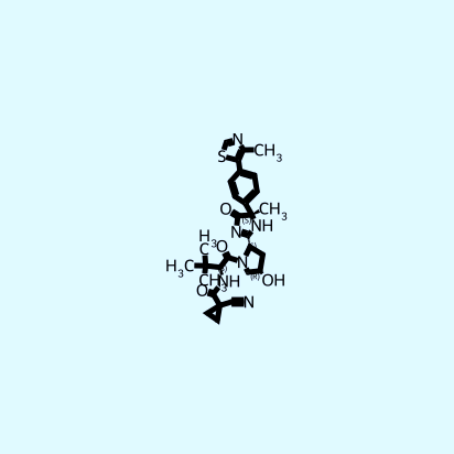 Cc1ncsc1-c1ccc([C@]2(C)NC([C@@H]3C[C@@H](O)CN3C(=O)[C@@H](NC(=O)C3(C#N)CC3)C(C)(C)C)=NC2=O)cc1